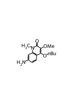 CCCCOc1c(OC)c(=O)n(C)c2cc(N)ccc12